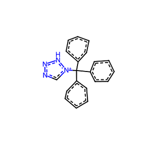 c1ccc(C(c2ccccc2)(c2ccccc2)[n+]2cnn[nH]2)cc1